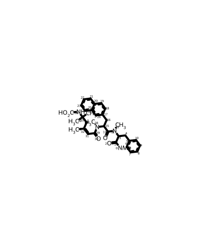 CNC(=O)C(Cc1ccccc1)N(C)C(=O)C(Cc1ccc2ccccc2c1)N(C)C(=O)/C=C(/C)CC(C)(C)NC(=O)O